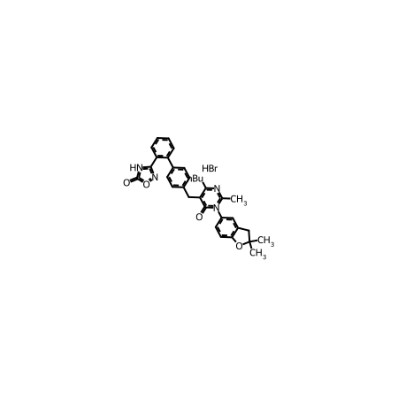 Br.CCCCc1nc(C)n(-c2ccc3c(c2)CC(C)(C)O3)c(=O)c1Cc1ccc(-c2ccccc2-c2noc(=O)[nH]2)cc1